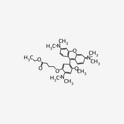 CCOC(=O)CCCOc1cc(-c2c3ccc(=[N+](C)C)cc-3oc3cc(N(C)C)ccc23)c(OC)cc1N(C)C